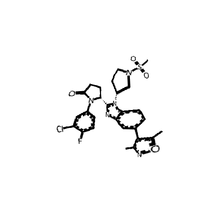 Cc1noc(C)c1-c1ccc2c(c1)nc([C@H]1CCC(=O)N1c1ccc(F)c(Cl)c1)n2[C@@H]1CCN(S(C)(=O)=O)C1